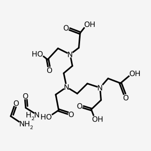 NC=O.NC=O.O=C(O)CN(CCN(CC(=O)O)CC(=O)O)CCN(CC(=O)O)CC(=O)O